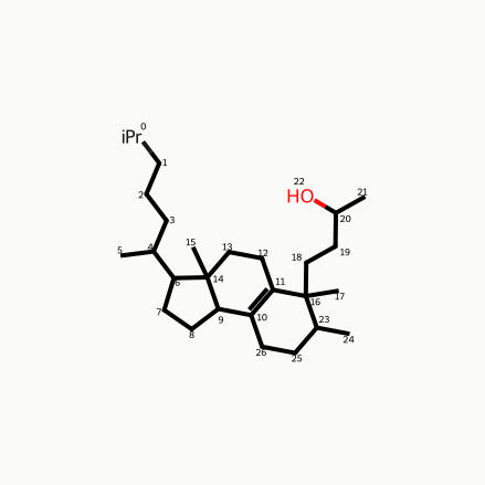 CC(C)CCCC(C)C1CCC2C3=C(CCC21C)C(C)(CCC(C)O)C(C)CC3